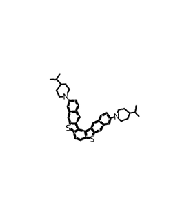 CC(C)C1CCN(c2ccc3cc4c(cc3c2)sc2ccc3sc5cc6cc(N7CCC(C(C)C)CC7)ccc6cc5c3c24)CC1